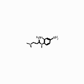 CC(=O)Nc1cc(N)ccc1N(C)C(=O)CCN(C)C